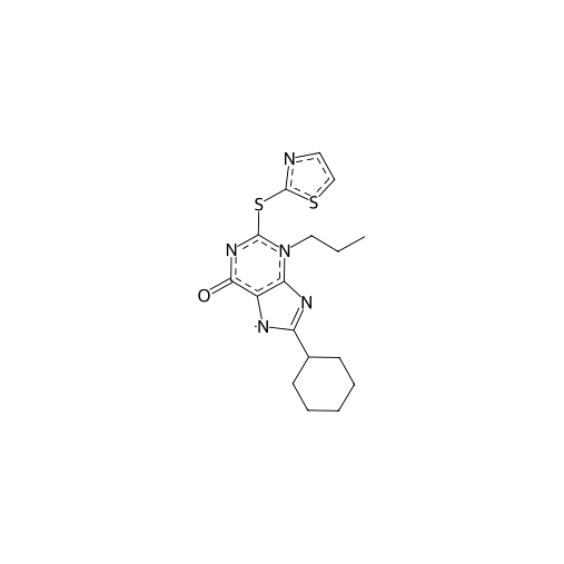 CCCn1c(Sc2nccs2)nc(=O)c2c1N=C(C1CCCCC1)[N]2